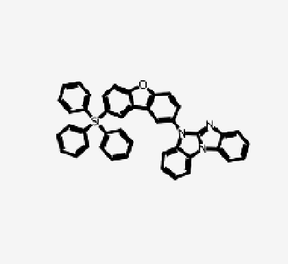 c1ccc([Si](c2ccccc2)(c2ccccc2)c2ccc3oc4ccc(-n5c6ccccc6n6c7ccccc7nc56)cc4c3c2)cc1